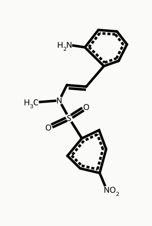 CN(C=Cc1ccccc1N)S(=O)(=O)c1ccc([N+](=O)[O-])cc1